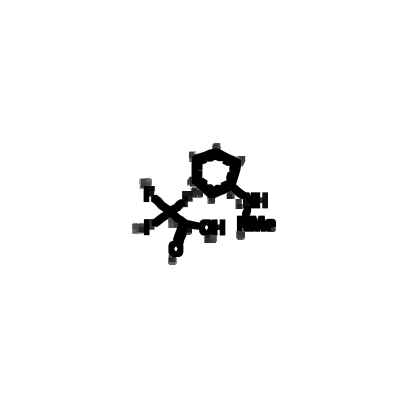 CNNc1ccccc1.O=C(O)C(F)(F)F